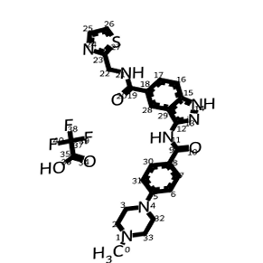 CN1CCN(c2ccc(C(=O)Nc3n[nH]c4ccc(C(=O)NCc5nccs5)cc34)cc2)CC1.O=C(O)C(F)(F)F